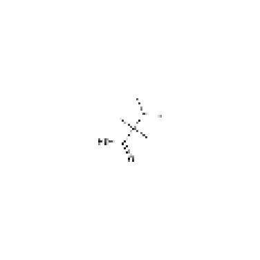 CC(C)C(C)(C)C(=O)S